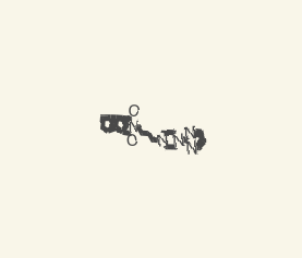 O=C1C2CC(C(=O)N1CCCCN1CCN(c3ncccn3)CC1)C1C3CCC(C3)C21